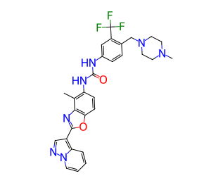 Cc1c(NC(=O)Nc2ccc(CN3CCN(C)CC3)c(C(F)(F)F)c2)ccc2oc(-c3cnn4ccccc34)nc12